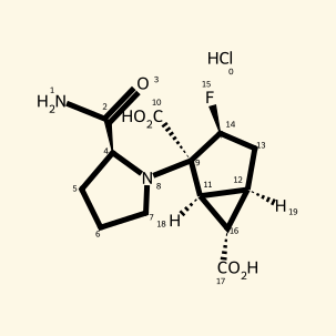 Cl.NC(=O)[C@@H]1CCCN1[C@]1(C(=O)O)[C@H]2[C@@H](C[C@@H]1F)[C@@H]2C(=O)O